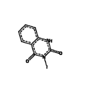 O=c1[nH]c2ccccc2c(=O)n1I